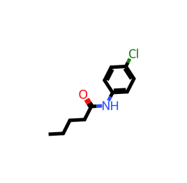 CCCCC(=O)Nc1ccc(Cl)cc1